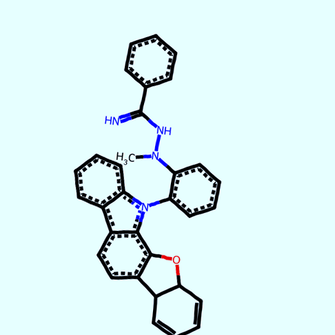 CN(NC(=N)c1ccccc1)c1ccccc1-n1c2ccccc2c2ccc3c(c21)OC1C=CC=CC31